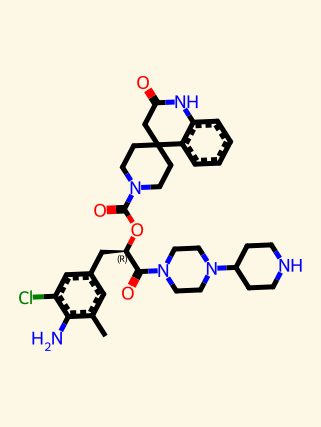 Cc1cc(C[C@@H](OC(=O)N2CCC3(CC2)CC(=O)Nc2ccccc23)C(=O)N2CCN(C3CCNCC3)CC2)cc(Cl)c1N